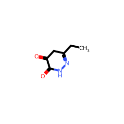 CCC1=NNC(=O)C(=O)C1